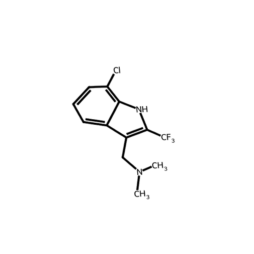 CN(C)Cc1c(C(F)(F)F)[nH]c2c(Cl)cccc12